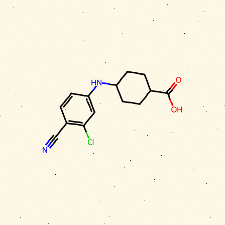 N#Cc1ccc(NC2CCC(C(=O)O)CC2)cc1Cl